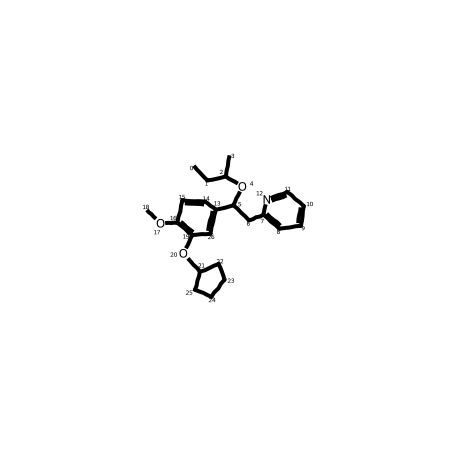 CCC(C)OC(Cc1ccccn1)c1ccc(OC)c(OC2CCCC2)c1